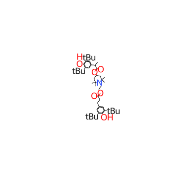 CC(C(=O)OC1CC(C)(C)N(CCOC(=O)CCc2cc(C(C)(C)C)c(O)c(C(C)(C)C)c2)C(C)(C)C1)c1cc(C(C)(C)C)c(O)c(C(C)(C)C)c1